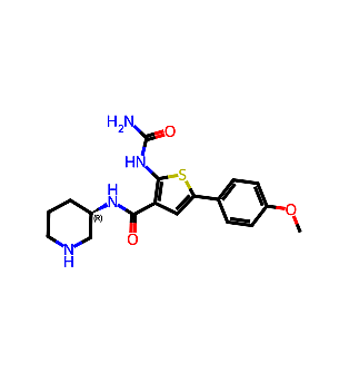 COc1ccc(-c2cc(C(=O)N[C@@H]3CCCNC3)c(NC(N)=O)s2)cc1